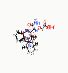 CNC(=O)/C(=N\OCC(=O)O)c1nc2ccccc2n(C2C[C@H]3CCC[C@@H](C2)N3C2C[C@H]3CCC[C@@H](C2)C3)c1=O